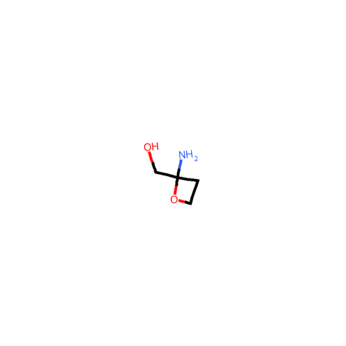 NC1(CO)CCO1